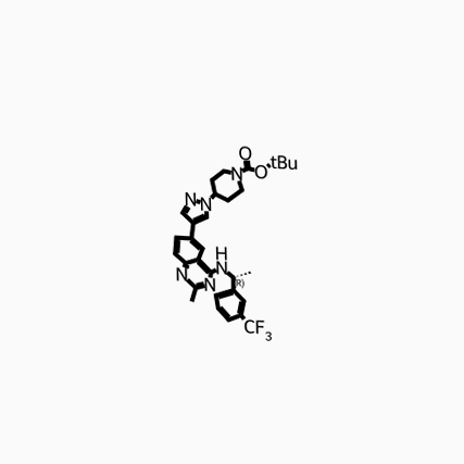 Cc1nc(N[C@H](C)c2cccc(C(F)(F)F)c2)c2cc(-c3cnn(C4CCN(C(=O)OC(C)(C)C)CC4)c3)ccc2n1